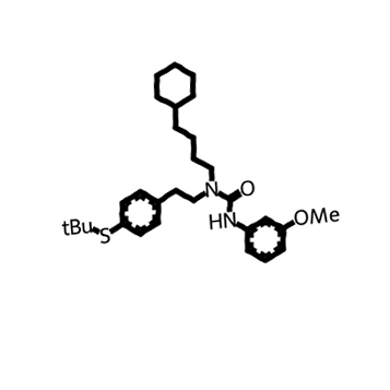 COc1cccc(NC(=O)N(CCCCC2CCCCC2)CCc2ccc(SC(C)(C)C)cc2)c1